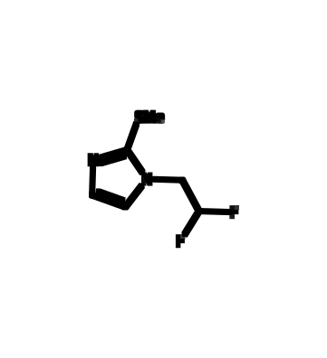 CSc1nccn1CC(F)F